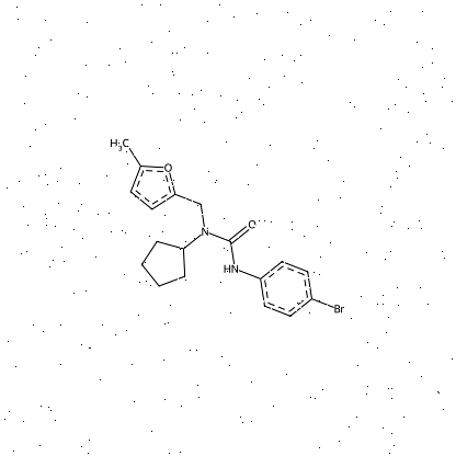 Cc1ccc(CN(C(=O)Nc2ccc(Br)cc2)C2CCCC2)o1